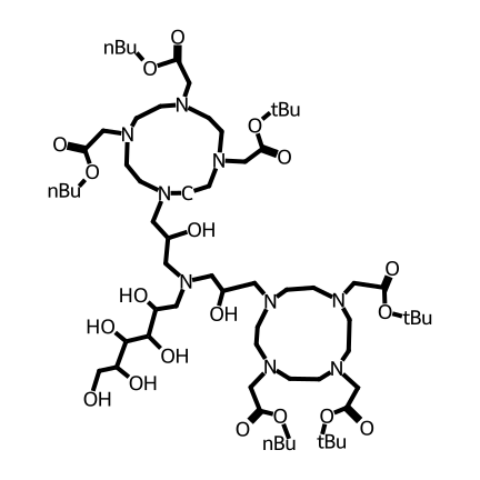 CCCCOC(=O)CN1CCN(CC(=O)OCCCC)CCN(CC(O)CN(CC(O)CN2CCN(CC(=O)OCCCC)CCN(CC(=O)OC(C)(C)C)CCN(CC(=O)OC(C)(C)C)CC2)CC(O)C(O)C(O)C(O)CO)CCN(CC(=O)OC(C)(C)C)CC1